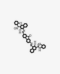 O=NC(c1ccccc1Cl)c1cc2ccccc2c(N=Nc2ccc3c(c2)C(=O)c2cc(N=Nc4c(O)c(C(=O)Nc5ccccc5Cl)cc5ccccc45)ccc2-3)c1O